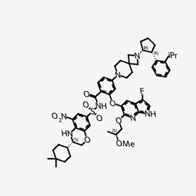 CO[C@@H](C)COc1nc2[nH]cc(F)c2cc1Oc1cc(N2CCC3(CC2)CN([C@@H]2CCC[C@@H]2c2ccccc2C(C)C)C3)ccc1C(=O)NS(=O)(=O)c1cc2c(c([N+](=O)[O-])c1)N[C@@H](C1CCC(C)(C)CC1)CO2